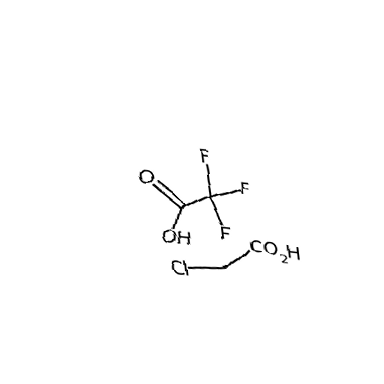 O=C(O)C(F)(F)F.O=C(O)CCl